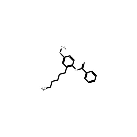 CCCCCCc1cc(SC)ccc1OC(=O)c1ccccc1